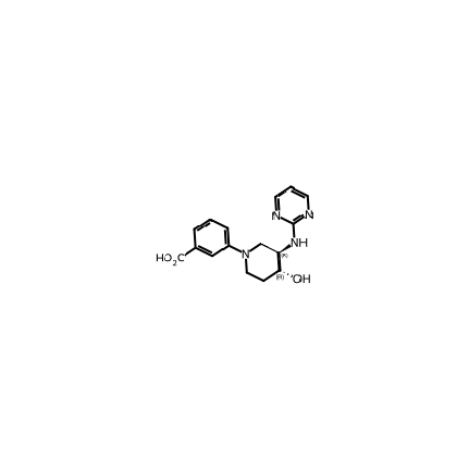 O=C(O)c1cccc(N2CC[C@@H](O)[C@H](Nc3ncccn3)C2)c1